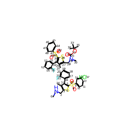 CNCc1sc(S(=O)(=O)c2ccccc2)c(-c2ccccc2F)c1C.Cc1c(CN(C)C(=O)OC(C)(C)C)sc(S(=O)(=O)c2ccccc2)c1-c1ccccc1F.Cl